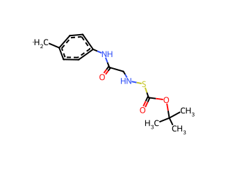 [CH2]c1ccc(NC(=O)CNSC(=O)OC(C)(C)C)cc1